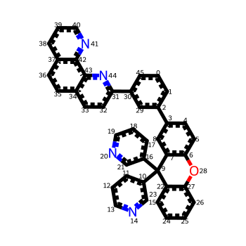 c1cc(-c2ccc3c(c2)C(c2cccnc2)(c2cccnc2)c2ccccc2O3)cc(-c2ccc3ccc4cccnc4c3n2)c1